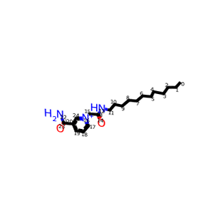 CCCCCCCCCCCCNC(=O)C[n+]1cccc(C(N)=O)c1